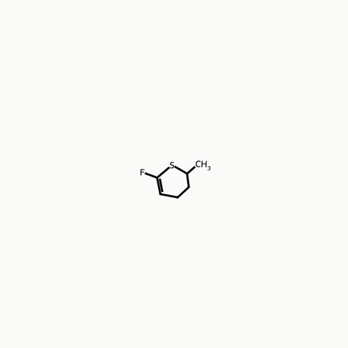 CC1CCC=C(F)S1